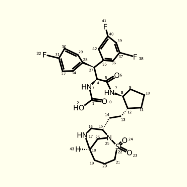 O=C(O)N[C@H](C(=O)N[C@H]1CCC[C@@H]1CC[C@H]1CN[C@@H]2CCCS(=O)(=O)N1C2)[C@@H](c1ccc(F)cc1)c1cc(F)cc(F)c1